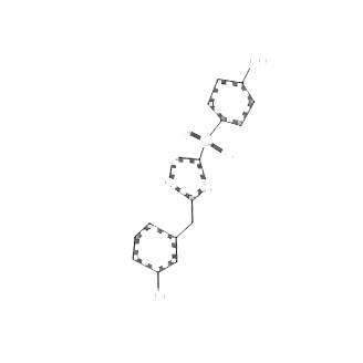 Cc1ccc(S(=O)(=O)c2nc(Cc3cccc(Cl)c3)ns2)cc1